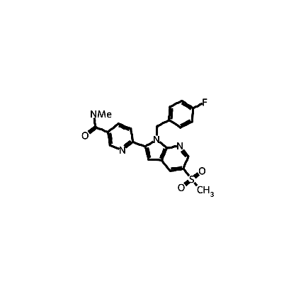 CNC(=O)c1ccc(-c2cc3cc(S(C)(=O)=O)cnc3n2Cc2ccc(F)cc2)nc1